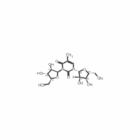 Cc1cn([C@@H]2O[C@H](CO)[C@@H](O)[C@]2(O)F)c(=O)n(C2O[C@@H](CO)[C@H](O)[C@H]2O)c1=O